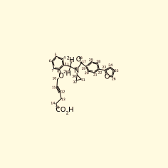 [2H]C([2H])(c1ccccc1OCC#CCCC(=O)O)N(C(=O)c1ccc(-c2ccco2)cc1)C1CC1